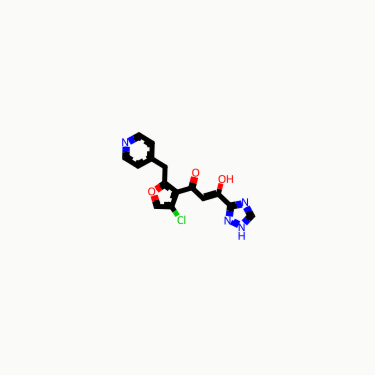 O=C(C=C(O)c1nc[nH]n1)c1c(Cl)coc1Cc1ccncc1